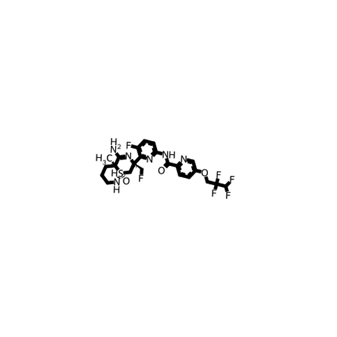 C[C@]12CCCN[SH]1(=O)C[C@@](CF)(c1nc(NC(=O)c3ccc(OCC(F)(F)C(F)F)cn3)ccc1F)N=C2N